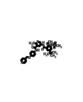 COc1c(NS(C)(=O)=O)cc(C(C)(C)C)cc1C(=O)Nc1cnc(C)c(C(=O)Nc2ccc(OCc3ccncc3)cc2)c1